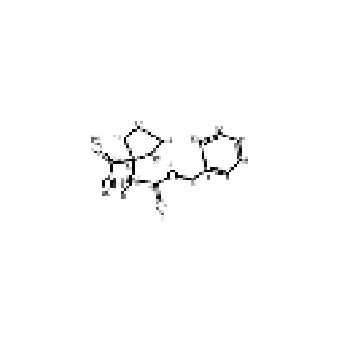 CN(C(=O)OCc1ccccc1)C1(C(=O)O)CCCC1